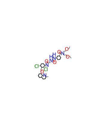 CCOCCN(CCOCC)C(=O)c1cccc(NC(=O)NCC(=O)N(C)c2ccc(Cl)c(COc3cccc4ccc(C)nc34)c2Cl)c1